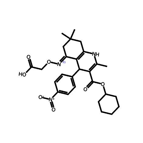 CC1=C(C(=O)OC2CCCCC2)C(c2ccc([N+](=O)[O-])cc2)C2=C(CC(C)(C)C/C2=N\OCC(=O)O)N1